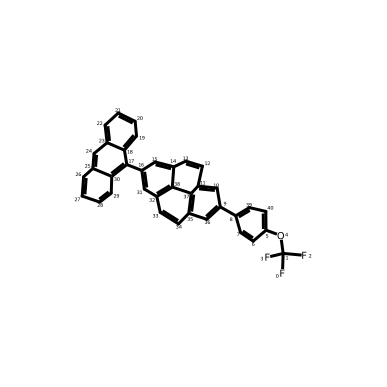 FC(F)(F)Oc1ccc(-c2cc3ccc4cc(-c5c6ccccc6cc6ccccc56)cc5ccc(c2)c3c45)cc1